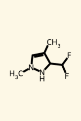 CC1=CN(C)NC1C(F)F